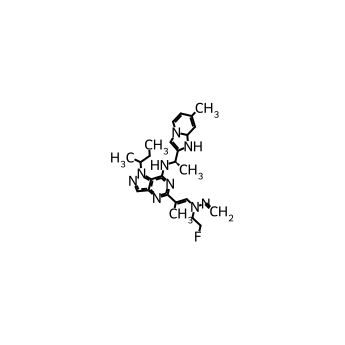 C=NN(/C=C(\C)c1nc(N[C@H](C)C2=CN3C=CC(C)=CC3N2)c2c(cnn2C(C)CC)n1)CCF